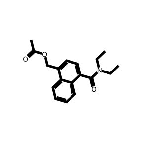 CCN(CC)C(=O)c1ccc(COC(C)=O)c2ccccc12